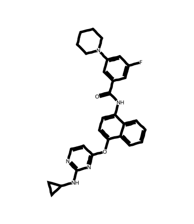 O=C(Nc1ccc(Oc2ccnc(NC3CC3)n2)c2ccccc12)c1cc(F)cc(N2CCCCC2)c1